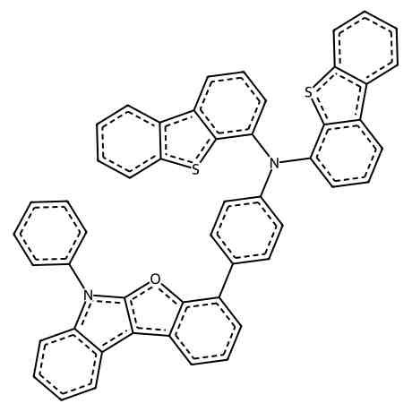 c1ccc(-n2c3ccccc3c3c4cccc(-c5ccc(N(c6cccc7c6sc6ccccc67)c6cccc7c6sc6ccccc67)cc5)c4oc32)cc1